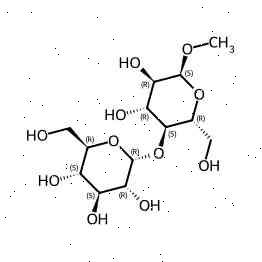 CO[C@H]1O[C@H](CO)[C@@H](O[C@H]2O[C@H](CO)[C@@H](O)[C@H](O)[C@H]2O)[C@H](O)[C@H]1O